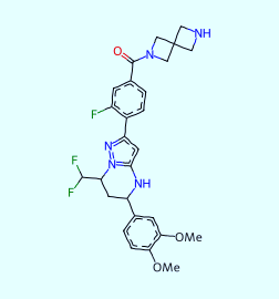 COc1ccc(C2CC(C(F)F)n3nc(-c4ccc(C(=O)N5CC6(CNC6)C5)cc4F)cc3N2)cc1OC